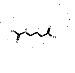 [NH]C(=O)NCCCC(=O)O